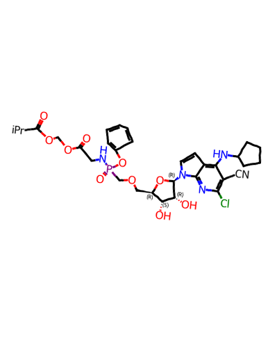 CC(C)C(=O)OCOC(=O)CNP(=O)(COC[C@H]1O[C@@H](n2ccc3c(NC4CCCC4)c(C#N)c(Cl)nc32)[C@H](O)[C@@H]1O)Oc1ccccc1